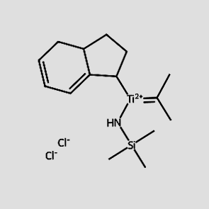 C[C](C)=[Ti+2]([NH][Si](C)(C)C)[CH]1CCC2CC=CC=C21.[Cl-].[Cl-]